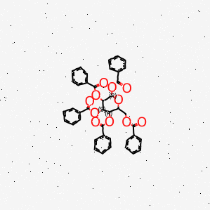 O=C(OCC1O[C@H](OC(=O)c2ccccc2)C(OC(=O)c2ccccc2)[C@@H](OC(=O)c2ccccc2)[C@@H]1OC(=O)c1ccccc1)c1ccccc1